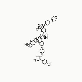 CC1(C)CCC(CN2CCN(c3ccc(C(=O)NS(=O)(=O)c4ccc(OC5CCC(N6CCOCC6)CC5)c([N+](=O)[O-])c4)c(-n4ncc5nc6[nH]ccc6cc54)c3)CC2)=C(c2ccc(Cl)cc2)C1